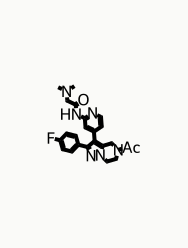 CC(=O)N1CCn2nc(-c3ccc(F)cc3)c(-c3ccnc(NC(=O)CN(C)C)c3)c2C1